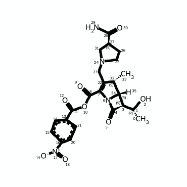 C[C@@H](O)[C@H]1C(=O)N2C(C(=O)OC(=O)c3ccc([N+](=O)[O-])cc3)=C(CN3CC[C@H](C(N)=O)C3)[C@H](C)[C@H]12